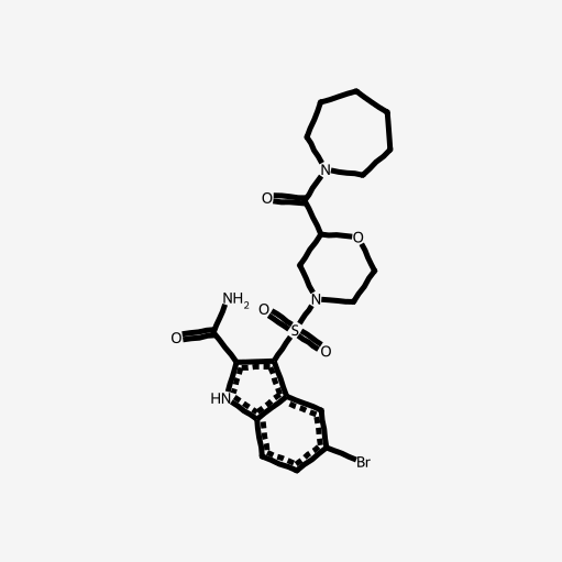 NC(=O)c1[nH]c2ccc(Br)cc2c1S(=O)(=O)N1CCOC(C(=O)N2CCCCCC2)C1